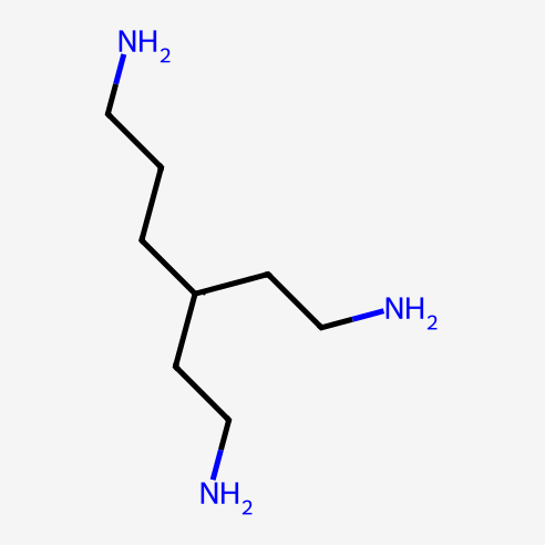 NCCC[C](CCN)CCN